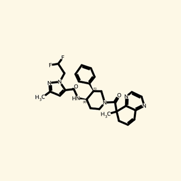 Cc1cc(C(=O)N[C@@H]2CCN(C(=O)C3(C)CC=Cc4nccnc43)C[C@@H]2c2ccccc2)n(CC(F)F)n1